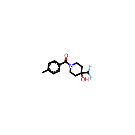 Cc1ccc(C(=O)N2CCC(O)(C(F)F)CC2)cc1